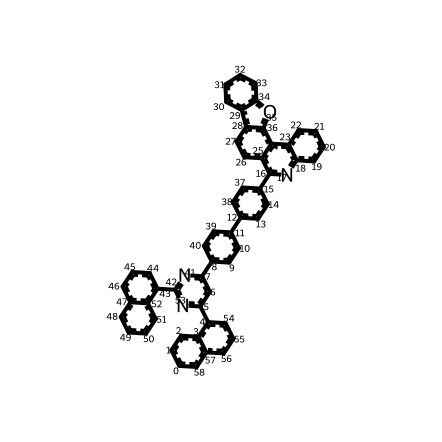 c1ccc2c(-c3cc(-c4ccc(-c5ccc(-c6nc7ccccc7c7c6ccc6c8ccccc8oc67)cc5)cc4)nc(-c4cccc5ccccc45)n3)cccc2c1